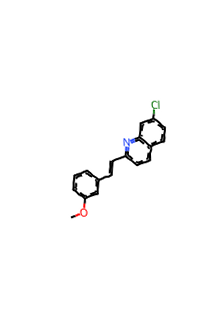 COc1cccc(/C=C/c2ccc3ccc(Cl)cc3n2)c1